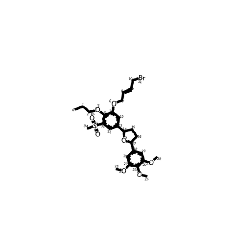 CCCOc1c(OCC=CCBr)cc(C2CCC(c3cc(OC)c(OC)c(OC)c3)O2)cc1S(C)(=O)=O